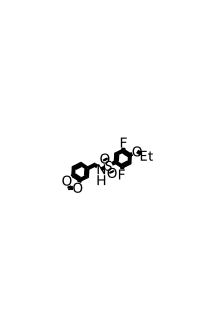 CCOc1cc(F)c(S(=O)(=O)NCc2ccc3c(c2)OCO3)cc1F